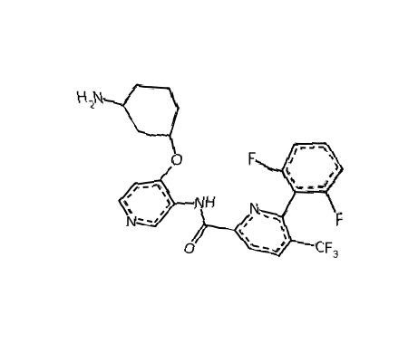 NC1CCCC(Oc2ccncc2NC(=O)c2ccc(C(F)(F)F)c(-c3c(F)cccc3F)n2)C1